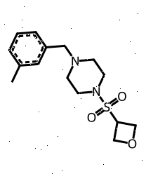 Cc1cccc(CN2CCN(S(=O)(=O)C3COC3)CC2)c1